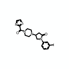 O=C(c1nccs1)N1CCN(C2CC(=O)N(c3cccc(I)c3)C2)CC1